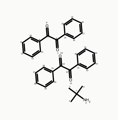 CC(C)(C)N.O=C(C(=O)c1ccccc1)c1ccccc1.O=C(C(=O)c1ccccc1)c1ccccc1